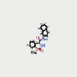 CC(C)(C)OC(=O)NC(C(=O)Nc1ccc2ccccc2c1)c1ccccc1